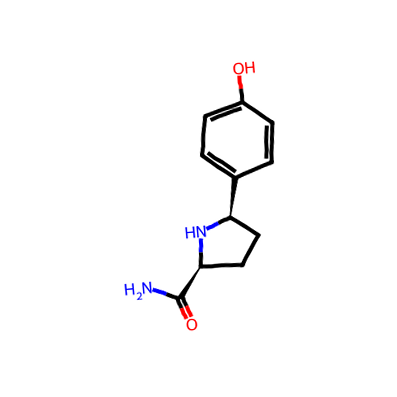 NC(=O)[C@@H]1CC[C@H](c2ccc(O)cc2)N1